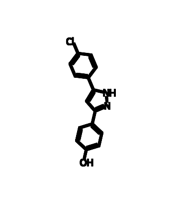 Oc1ccc(-c2cc(-c3ccc(Cl)cc3)[nH]n2)cc1